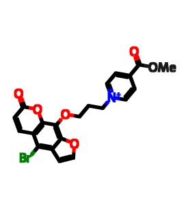 COC(=O)c1cc[n+](CCCOc2c3occc3c(Br)c3ccc(=O)oc23)cc1